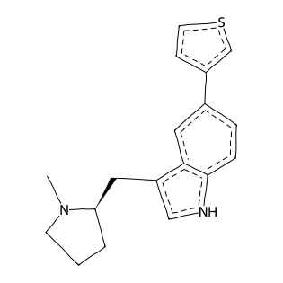 CN1CCC[C@@H]1Cc1c[nH]c2ccc(-c3ccsc3)cc12